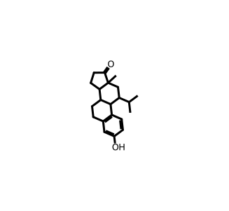 CC(C)C1CC2(C)C(=O)CCC2C2CCc3cc(O)ccc3C12